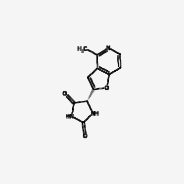 Cc1nccc2oc([C@@H]3NC(=O)NC3=O)cc12